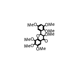 COc1cc(OC)c(OC)c(C2Oc3c(cc(OC)c(OC)c3OC)C(=O)C2OC)c1